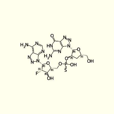 Nc1nc2c(nnn2[C@@H]2O[C@H](CO)C[C@H]2OP(O)(=S)OC[C@H]2O[C@@H](n3nnc4c(N)ncnc43)[C@@H](F)[C@@H]2O)c(=O)[nH]1